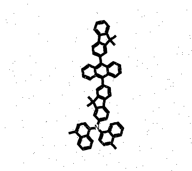 Cc1ccc(N(c2ccc3c(c2)C(C)(C)c2cc(-c4c5ccccc5c(-c5ccc6c(c5)C(C)(C)c5ccccc5-6)c5ccccc45)ccc2-3)c2ccc(C)c3ccccc23)c2ccccc12